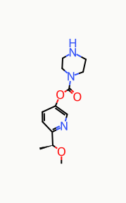 CO[C@@H](C)c1ccc(OC(=O)N2CCNCC2)cn1